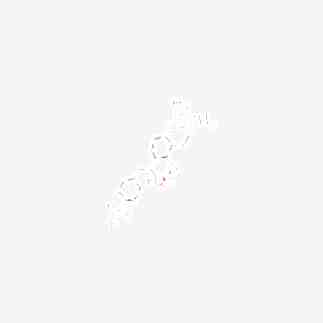 COc1c(C(=O)Cc2ccc(C(F)(F)F)cc2)ccc2c1C=CC(C)(C)O2